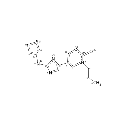 CCCn1cc(-n2cnc(Nc3ccsc3)n2)ccc1=O